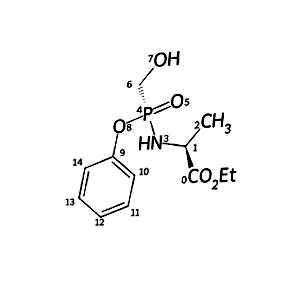 CCOC(=O)[C@H](C)N[P@@](=O)(CO)Oc1ccccc1